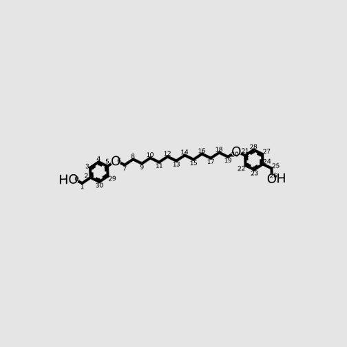 OCc1ccc(OCCCCCCCCCCCCCOc2ccc(CO)cc2)cc1